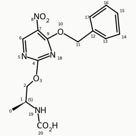 C[C@@H](COc1ncc([N+](=O)[O-])c(OCc2ccccc2)n1)NC(=O)O